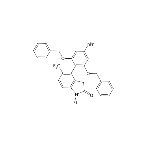 CCCc1cc(OCc2ccccc2)c(-c2c(C(F)(F)F)ccc3c2CC(=O)N3CC)c(OCc2ccccc2)c1